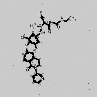 CCOC(=O)NC(=O)C(C#N)N(C)Nc1cc(Cl)c(Oc2ccc3c(c2)CCN(c2cccnc2)C3=O)c(Cl)c1